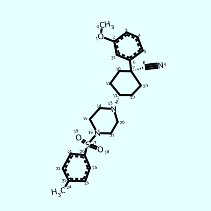 COc1cccc([C@]2(C#N)CC[C@@H](N3CCN(S(=O)(=O)c4ccc(C)cc4)CC3)CC2)c1